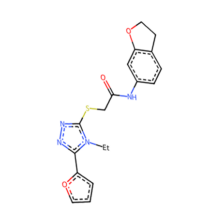 CCn1c(SCC(=O)Nc2ccc3c(c2)OCC3)nnc1-c1ccco1